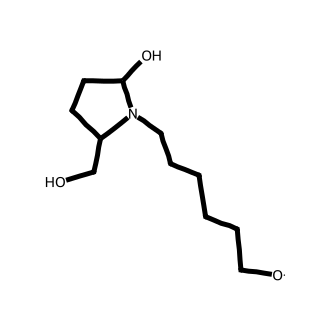 [O]CCCCCCN1C(O)CCC1CO